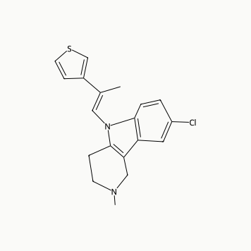 C/C(=C\n1c2c(c3cc(Cl)ccc31)CN(C)CC2)c1ccsc1